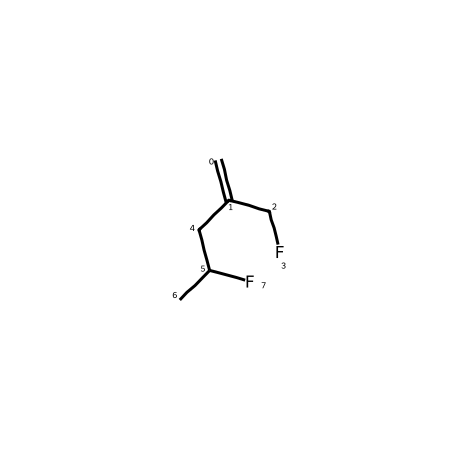 C=C(CF)CC(C)F